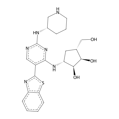 OC[C@H]1C[C@@H](Nc2nc(N[C@H]3CCCNC3)ncc2-c2nc3ccccc3s2)[C@H](O)[C@@H]1O